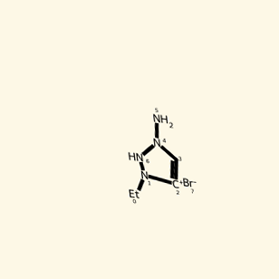 CCN1[C+]=CN(N)N1.[Br-]